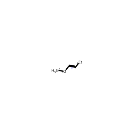 CC/C=C/O[SiH3]